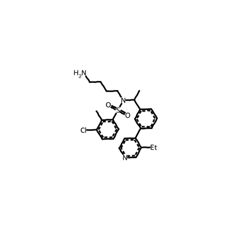 CCc1cnccc1-c1cccc(C(C)N(CCCCN)S(=O)(=O)c2cccc(Cl)c2C)c1